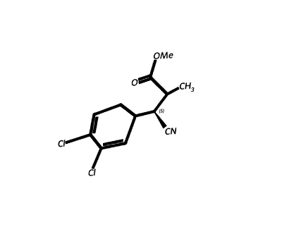 COC(=O)C(C)[C@@H](C#N)C1C=C(Cl)C(Cl)=CC1